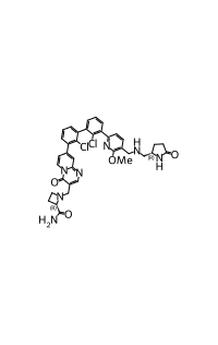 COc1nc(-c2cccc(-c3cccc(-c4ccn5c(=O)c(CN6CC[C@@H]6C(N)=O)cnc5c4)c3Cl)c2Cl)ccc1CNC[C@H]1CCC(=O)N1